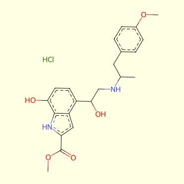 COC(=O)c1cc2c(C(O)CNC(C)Cc3ccc(OC)cc3)ccc(O)c2[nH]1.Cl